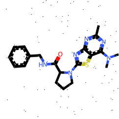 Cc1nc(N(C)C)c2sc(N3CCCC3C(=O)NCc3ccccc3)nc2n1